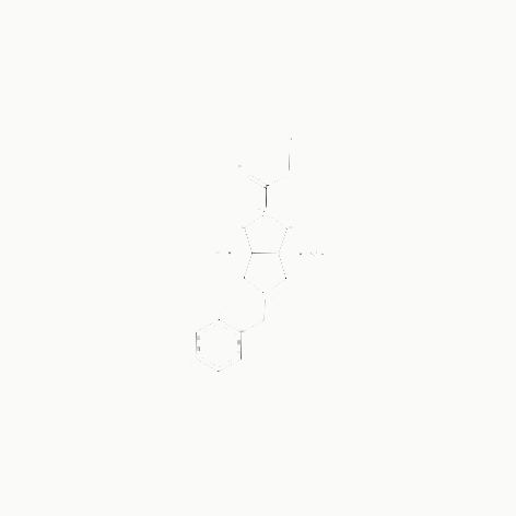 CO[C@]12CN(Cc3ccccc3)C[C@H]1CN(C(=O)OC(C)(C)C)C2